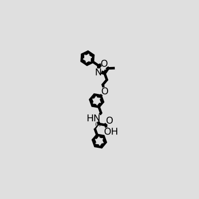 Cc1oc(-c2ccccc2)nc1CCOc1cccc(CN[C@H](Cc2ccccc2)C(=O)O)c1